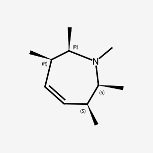 C[C@@H]1C=C[C@H](C)[C@H](C)N(C)[C@@H]1C